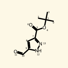 CC(C)(C)OC(=O)c1cc(C=O)[nH]n1